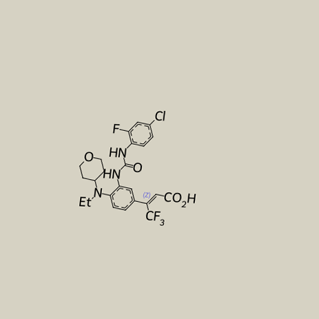 CCN(c1ccc(/C(=C/C(=O)O)C(F)(F)F)cc1NC(=O)Nc1ccc(Cl)cc1F)C1CCOCC1